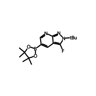 CC(C)(C)n1nc2ncc(B3OC(C)(C)C(C)(C)O3)cc2c1F